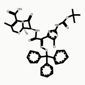 CC1=C(C(=O)O)N2C(=O)[C@@H](NC(=O)/C(=N/OC(c3ccccc3)(c3ccccc3)c3ccccc3)c3nc(NC(=O)OC(C)(C)C)sc3Cl)[C@H]2SC1